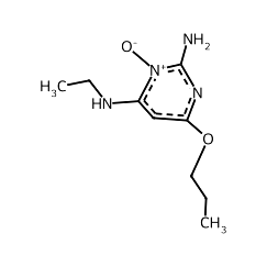 CCCOc1cc(NCC)[n+]([O-])c(N)n1